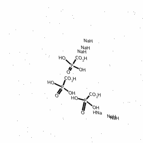 O=C(O)P(=O)(O)O.O=C(O)P(=O)(O)O.O=C(O)P(=O)(O)O.[NaH].[NaH].[NaH].[NaH].[NaH].[NaH]